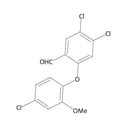 COc1cc(Cl)ccc1Oc1cc(Cl)c(Cl)cc1C=O